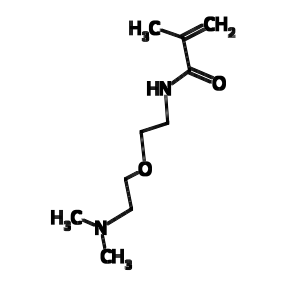 C=C(C)C(=O)NCCOCCN(C)C